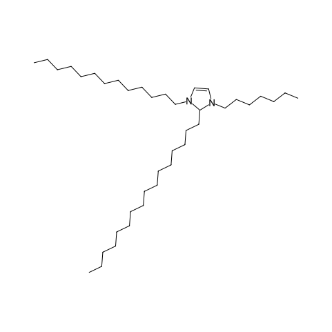 CCCCCCCCCCCCCCCCC1N(CCCCCCC)C=CN1CCCCCCCCCCCCC